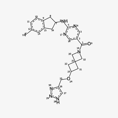 O=C(c1cnc(NC2Cc3ccc(F)cc3C2)nc1)N1CC2(CC(OCc3c[nH]nn3)C2)C1